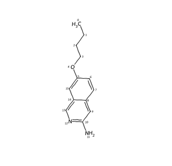 CCCCOc1ccc2cc(N)ncc2c1